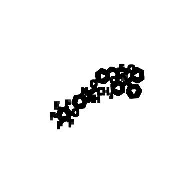 CC(Oc1ccc(CC2SC(=O)N(C(c3ccccc3)(c3ccccc3)c3ccccc3)C2=O)cc1)c1nc2ccc(Oc3c(F)c(F)c(F)c(F)c3F)cc2[nH]1